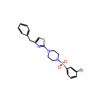 O=S(=O)(c1cccc(Br)c1)N1CCN(c2nc(Cc3ccccc3)cs2)CC1